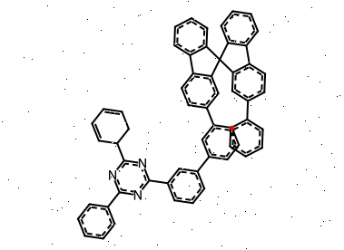 C1=CCC(c2nc(-c3ccccc3)nc(-c3cccc(-c4cccc(-c5ccc6c(c5)C5(c7ccccc7-c7ccc(-c8ccccc8)cc75)c5ccccc5-6)c4)c3)n2)C=C1